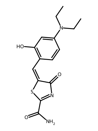 CCN(CC)c1ccc(C=C2SC(C(N)=O)=NC2=O)c(O)c1